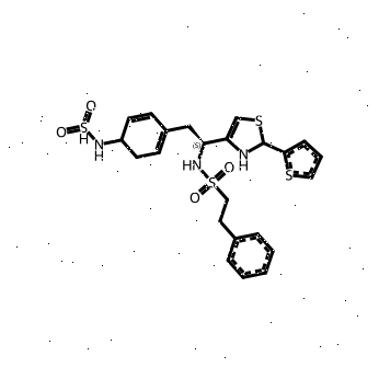 O=[SH](=O)NC1C=CC(C[C@H](NS(=O)(=O)CCc2ccccc2)C2=CSC(c3cccs3)N2)=CC1